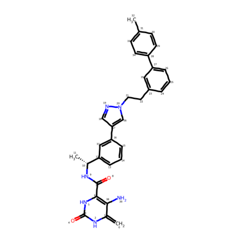 C=C1NC(=O)NC(C(=O)N[C@H](C)c2cccc(-c3cnn(CCc4cccc(-c5ccc(C)cc5)c4)c3)c2)=C1N